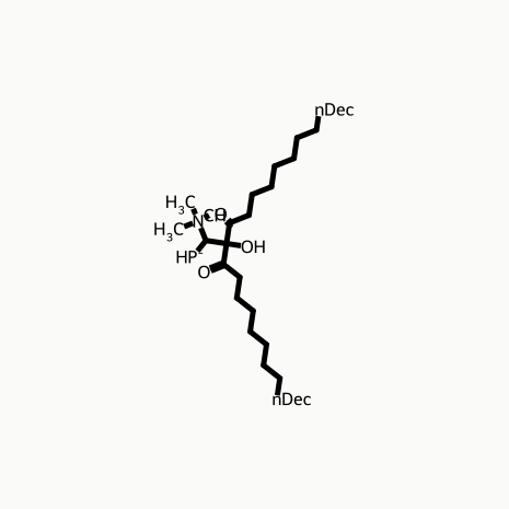 CCCCCCCCCCCCCCCCCC(=O)C(O)(C(=O)CCCCCCCCCCCCCCCCC)C([PH-])[N+](C)(C)C